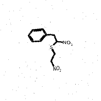 O=[N+]([O-])CCSC(Cc1ccccc1)[N+](=O)[O-]